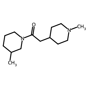 CC1CCCN(C(=O)CC2CCN(C)CC2)C1